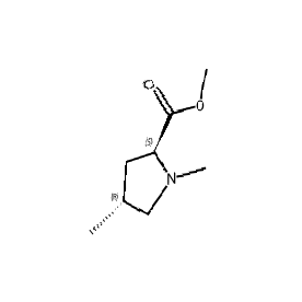 COC(=O)[C@@H]1C[C@@H](C)CN1C